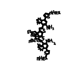 CCCCCCc1ccc(-c2cc(N)c(-c3cc4c(s3)-c3sc(-c5c(N)cc(-c6ccc(CCCCCC)s6)c6nsnc56)cc3C4(CC(CC)CCCC)CC(CC)CCCC)c3nsnc23)s1